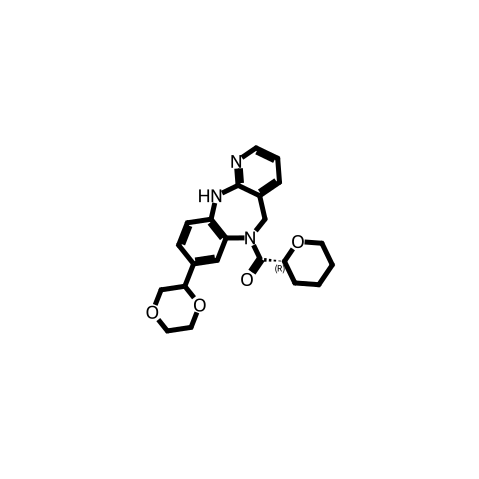 O=C([C@H]1CCCCO1)N1Cc2cccnc2Nc2ccc(C3COCCO3)cc21